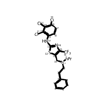 CCCN(CCc1ccccc1)Cc1sc(Nc2ccc(Cl)c(Cl)c2Cl)nc1C(F)(F)F